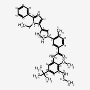 CCn1c(C2=CN(c3cc(C(=O)Nc4cc(C(C)(C)C)cc(NSC)c4OC)ccc3C)NN2)cnc1-c1ccccc1